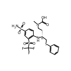 CN(CC[C@H](CSc1ccccc1)Nc1ccc(S(N)(=O)=O)cc1S(=O)(=O)C(F)(F)F)C(=O)O